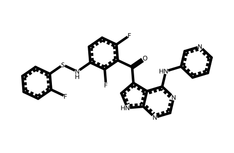 O=C(c1c(F)ccc(NSc2ccccc2F)c1F)c1c[nH]c2ncnc(Nc3cccnc3)c12